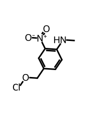 CNc1ccc(COCl)cc1[N+](=O)[O-]